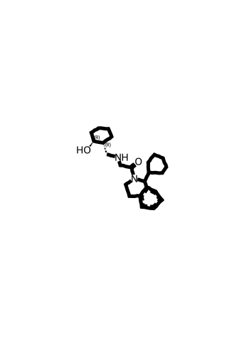 O=C(CNC[C@H]1CCCC[C@H]1O)N1CCc2ccccc2C1C1CCCCC1